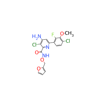 COc1c(Cl)ccc(-c2cc(N)c(Cl)c(C(=O)NOCc3ccco3)n2)c1F